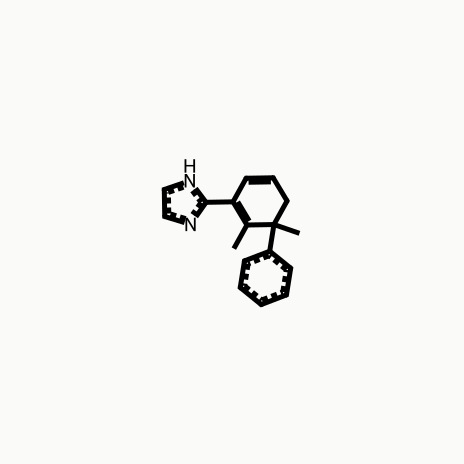 CC1=C(c2ncc[nH]2)C=CCC1(C)c1ccccc1